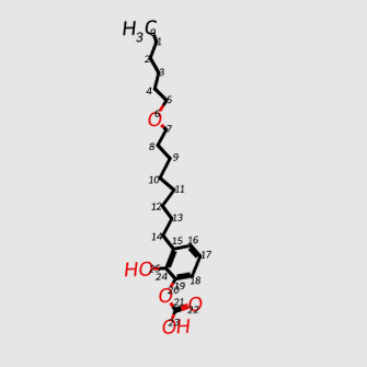 CCCCCCOCCCCCCCCc1cccc(OC(=O)O)c1O